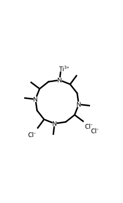 CC1CN(C)C(C)C[N]([Ti+3])C(C)CN(C)C(C)CN1C.[Cl-].[Cl-].[Cl-]